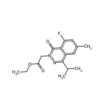 CCOC(=O)Cn1nc(C(C)C)c2cc(C)cc(F)c2c1=O